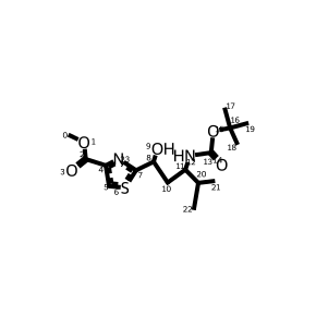 COC(=O)c1csc(C(O)CC(NC(=O)OC(C)(C)C)C(C)C)n1